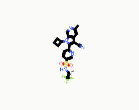 Cc1cc2c(C#N)c(-c3ccc(S(=O)(=O)N[C@H](C)C(F)(F)F)cn3)n(C3CCC3)c2cn1